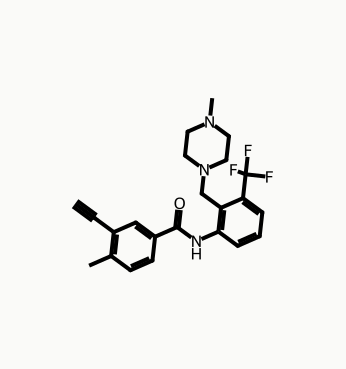 C#Cc1cc(C(=O)Nc2cccc(C(F)(F)F)c2CN2CCN(C)CC2)ccc1C